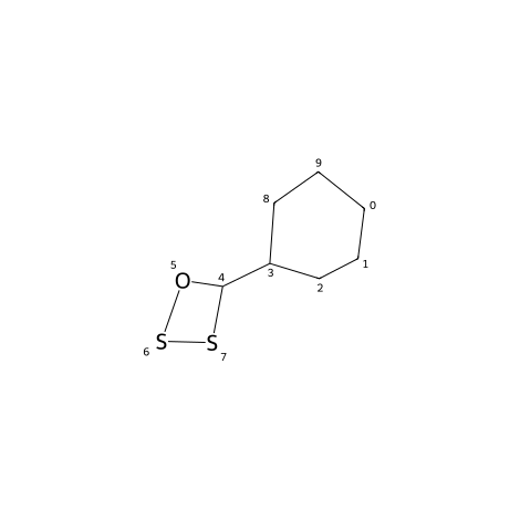 C1CCC(C2OSS2)CC1